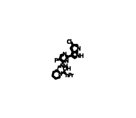 CCCC(O)N1CCCC[C@@H]1CNc1nc(-c2c[nH]c3ncc(Cl)cc23)ncc1F